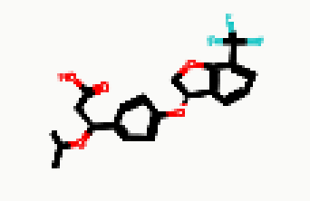 CC(C)O[C@@H](CC(=O)O)c1ccc(O[C@@H]2COc3c2cccc3C(F)(F)F)cc1